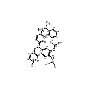 CC(Nc1ccc(C(Cc2cc[n+]([O-])cc2)c2ccc(OC(F)F)c(OC(F)F)c2)cn1)c1ccccc1